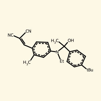 CCN(c1ccc(C=C(C#N)C#N)c(C)c1)C(C)(O)c1ccc(C(C)(C)C)cc1